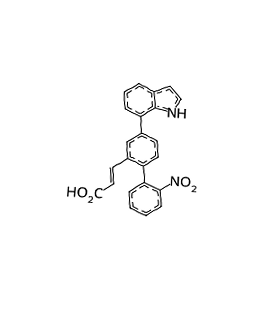 O=C(O)/C=C/c1cc(-c2cccc3cc[nH]c23)ccc1-c1ccccc1[N+](=O)[O-]